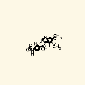 COc1cc2ncnc(NC(C)(C)c3ccc(N[SH](=O)=O)cc3)c2cc1OC